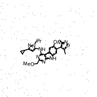 COCc1nc(Nc2cc(C3CC3)nn2C(C)C)c2c(n1)[nH]c1cc(-c3c(C)noc3C)c(OC)cc12